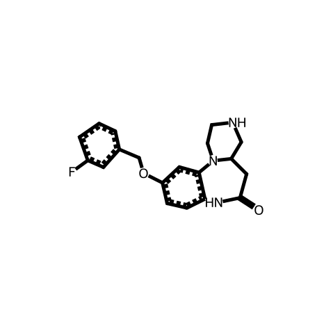 O=C1CC2CNCCN2c2cc(OCc3cccc(F)c3)ccc2N1